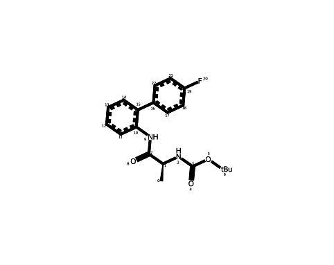 C[C@H](NC(=O)OC(C)(C)C)C(=O)Nc1ccccc1-c1ccc(F)cc1